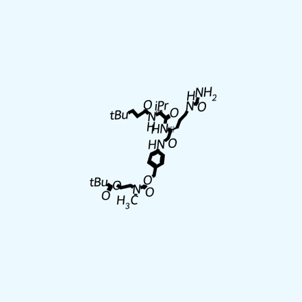 CC(C)[C@H](NC(=O)CCC(C)(C)C)C(=O)N[C@@H](CCCNC(N)=O)C(=O)Nc1ccc(COC(=O)N(C)CCOC(=O)C(C)(C)C)cc1